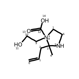 C=CCC1(C)NCC[N+]1(CCO)C(=O)O